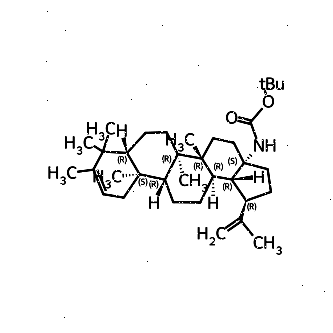 C=C(C)[C@@H]1CC[C@]2(NC(=O)OC(C)(C)C)CC[C@]3(C)[C@H](CC[C@@H]4[C@@]5(C)CC=C(C)C(C)(C)[C@@H]5CC[C@]43C)[C@@H]12